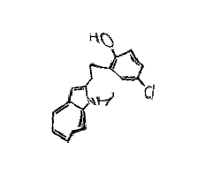 Oc1ccc(Cl)cc1Cc1cc2ccccc2[nH]1